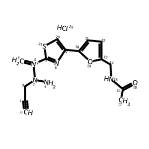 C#CCN(N)[N+](=C)c1nc(-c2ccc(CNC(C)=O)o2)cs1.Cl